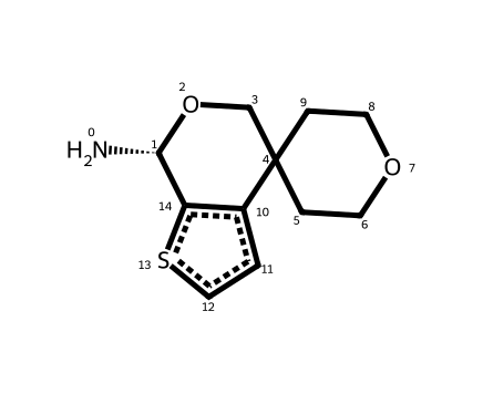 N[C@@H]1OCC2(CCOCC2)c2ccsc21